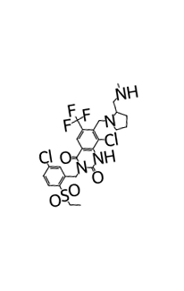 CCS(=O)(=O)c1ccc(Cl)cc1Cn1c(=O)[nH]c2c(Cl)c(CN3CCCC3CNC)c(C(F)(F)F)cc2c1=O